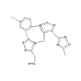 COCc1nnc2n1Cc1c(-c3noc(C)n3)ncn1-c1ccc(C)cc1-2